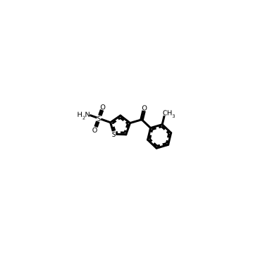 Cc1ccccc1C(=O)c1csc(S(N)(=O)=O)c1